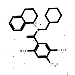 O=C(O)c1cc(C(=O)O)c(C(=O)N(CC2CCCCC2)[C@H]2CCCc3ccccc32)cc1C(=O)O